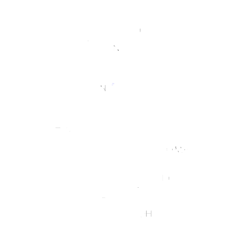 CCN(C)/C=N/c1cc(OC)c(C(O)(CC)C(F)(F)F)cc1C